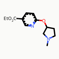 CCOC(=O)c1ccc(OC2CCN(C)C2)nc1